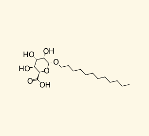 CCCCCCCCCCCCO[C@@H]1O[C@@H](C(=O)O)[C@@H](O)[C@H](O)[C@@H]1O